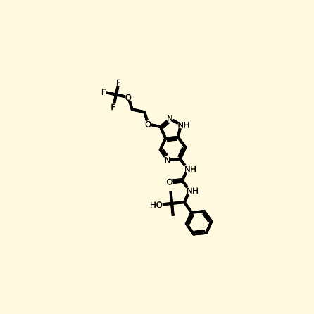 CC(C)(O)C(NC(=O)Nc1cc2[nH]nc(OCCOC(F)(F)F)c2cn1)c1ccccc1